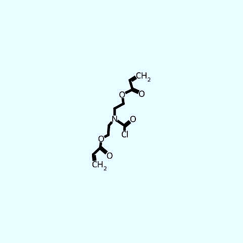 C=CC(=O)OCCN(CCOC(=O)C=C)C(=O)Cl